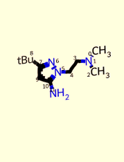 CN(C)CCn1nc(C(C)(C)C)cc1N